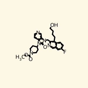 COC(=O)N1CCC(n2c(=O)n(Cc3ncc4cc(F)ccc4c3CCCCO)c3cnccc32)CC1